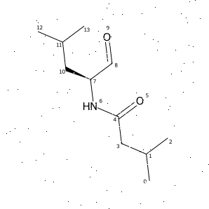 CC(C)CC(=O)N[C@H](C=O)CC(C)C